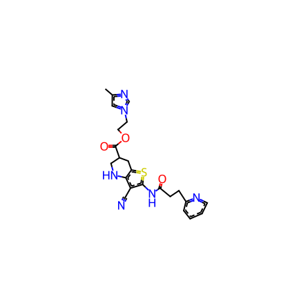 Cc1cn(CCOC(=O)C2CNc3c(sc(NC(=O)CCc4ccccn4)c3C#N)C2)cn1